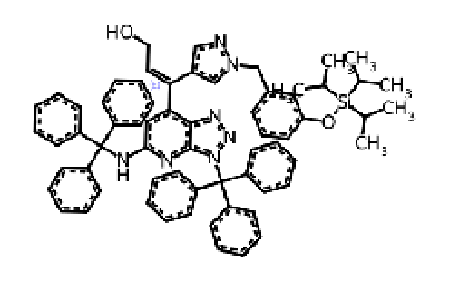 CC(C)[Si](Oc1cccc(Cn2cc(/C(=C\CO)c3cc(NC(c4ccccc4)(c4ccccc4)c4ccccc4)nc4c3nnn4C(c3ccccc3)(c3ccccc3)c3ccccc3)cn2)c1)(C(C)C)C(C)C